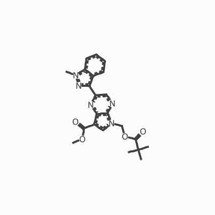 COC(=O)c1cn(COC(=O)C(C)(C)C)c2ncc(-c3nn(C)c4ccccc34)nc12